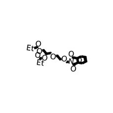 CCC(=O)OCC(COCCOCN1C(=O)C2C3C=CC(O3)C2C1=O)OC(=O)CC